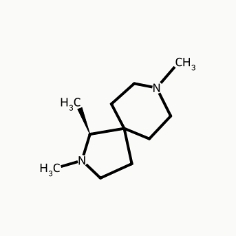 C[C@@H]1N(C)CCC12CCN(C)CC2